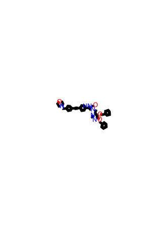 O=C1NC(c2ccc(C#Cc3ccc(CN4CCOCC4)cc3)cc2)CN1Cc1ncnc(OCc2ccccc2)c1OCc1ccccc1